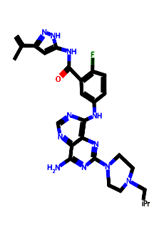 C=C(C)c1cc(NC(=O)c2cc(Nc3ncnc4c(N)nc(N5CCN(CC(C)C)CC5)nc34)ccc2F)[nH]n1